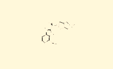 C[N+]1=CC2=CN(C(=O)c3nc4c(C(F)(F)F)cc(F)cc4[nH]3)CC2=C1